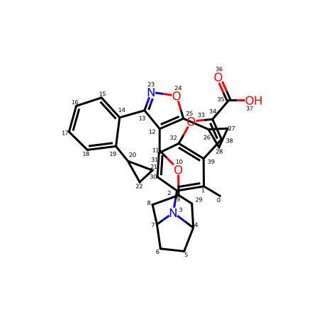 Cc1c(N2C3CCC2CC(OCc2c(-c4ccccc4C4CC4)noc2C2CC2)C3)ccc2oc(C(=O)O)cc12